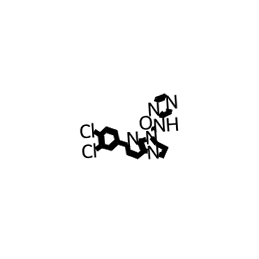 O=C(Nc1cnccn1)N1c2nc(-c3ccc(Cl)c(Cl)c3)ccc2N2CCC21